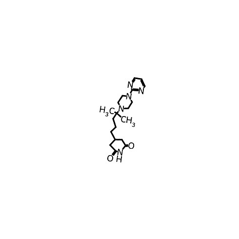 CC(C)(CCCC1CC(=O)NC(=O)C1)N1CCN(c2ncccn2)CC1